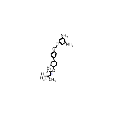 C/C(=C\C(C)(C)C)OC1CCC(c2ccc(OCOc3cc(N)cc(N)c3)cc2)CC1